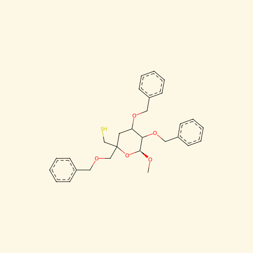 CO[C@H]1OC(CS)(COCc2ccccc2)CC(OCc2ccccc2)C1OCc1ccccc1